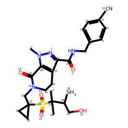 Cn1nc(C(=O)NCc2ccc(C#N)cc2)c2c1C(=O)N(CC1(S(=O)(=O)C(C)(C)C([SiH3])CO)CC1)CC2